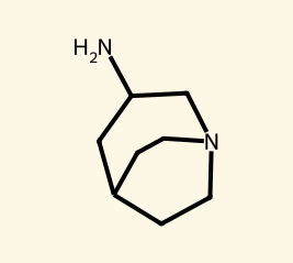 NC1CC2CCN(CC2)C1